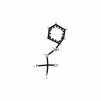 FC(F)(Cl)ONc1ccccc1